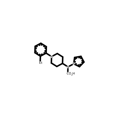 CCc1ccccc1N1CCC(N(C(=O)O)n2cccc2)CC1